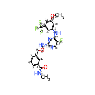 CNC(=O)c1cccc(CONc2ncc(F)c(Nc3cc(OC)cc(C(F)(F)F)c3)n2)c1